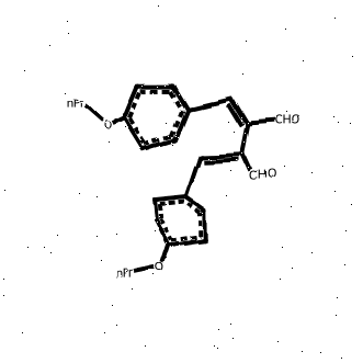 CCCOc1ccc(C=C(C=O)C(C=O)=Cc2ccc(OCCC)cc2)cc1